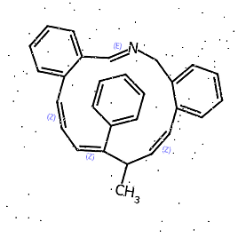 CC1/C=C\c2ccccc2C/N=C/c2ccccc2/C=C\C=C\1c1ccccc1